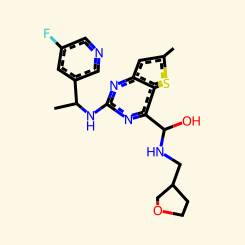 Cc1cc2nc(NC(C)c3cncc(F)c3)nc(C(O)NCC3CCOC3)c2s1